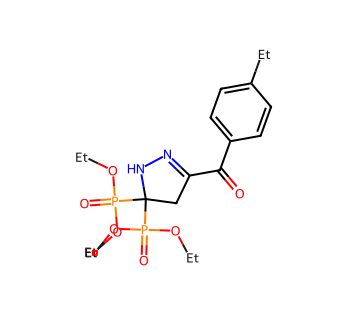 CCOP(=O)(OCC)C1(P(=O)(OCC)OCC)CC(C(=O)c2ccc(CC)cc2)=NN1